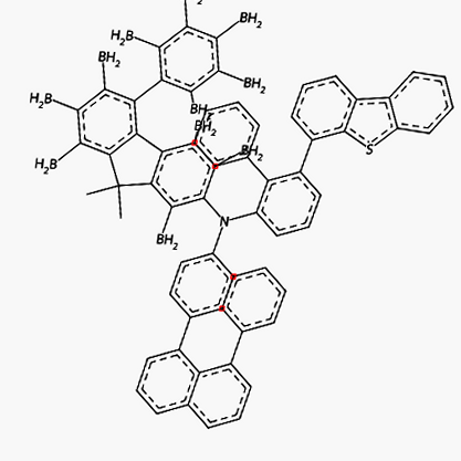 Bc1c(B)c(B)c(-c2c(B)c(B)c(B)c3c2-c2c(B)c(B)c(N(c4ccc(-c5cccc6cccc(-c7ccccc7)c56)cc4)c4cccc(-c5cccc6c5sc5ccccc56)c4-c4ccccc4)c(B)c2C3(C)C)c(B)c1B